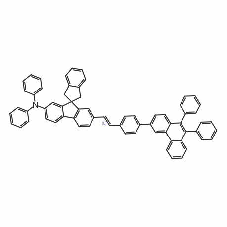 C(=C\c1ccc2c(c1)C1(Cc3ccccc3C1)c1cc(N(c3ccccc3)c3ccccc3)ccc1-2)/c1ccc(-c2ccc3c(-c4ccccc4)c(-c4ccccc4)c4ccccc4c3c2)cc1